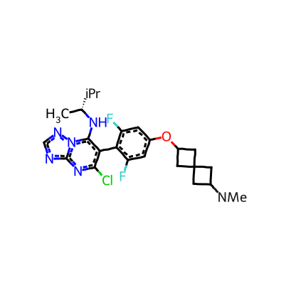 CNC1CC2(C1)CC(Oc1cc(F)c(-c3c(Cl)nc4ncnn4c3N[C@H](C)C(C)C)c(F)c1)C2